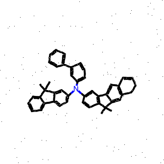 CC1(C)c2ccccc2-c2ccc(N(c3cccc(-c4ccccc4)c3)c3ccc4c(c3)-c3cc5c(cc3C4(C)C)CCC=C5)cc21